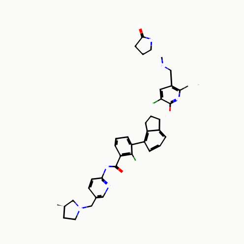 COc1nc(O[C@H]2CCc3c(-c4cccc(C(=O)Nc5ccc(CN6CC[C@@H](C(=O)O)C6)cn5)c4Cl)cccc32)c(Cl)cc1CNC[C@@H]1CCC(=O)N1